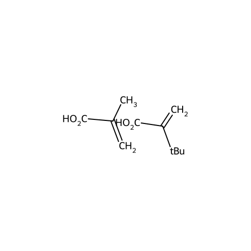 C=C(C(=O)O)C(C)(C)C.C=C(C)C(=O)O